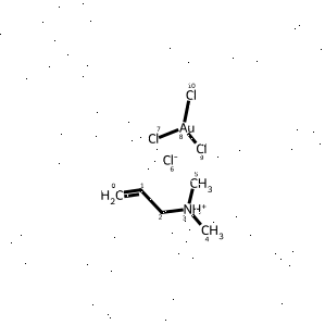 C=CC[NH+](C)C.[Cl-].[Cl][Au]([Cl])[Cl]